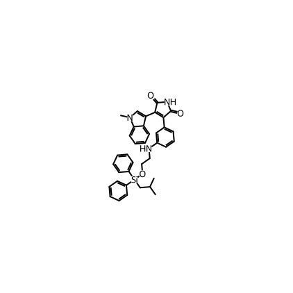 CC(C)C[Si](OCCNc1cccc(C2=C(c3cn(C)c4ccccc34)C(=O)NC2=O)c1)(c1ccccc1)c1ccccc1